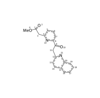 COC(=O)Cc1cccc(C(=O)Cc2ccc3ccccc3n2)n1